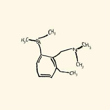 Cc1ccc[c]([Bi]([CH3])[CH3])c1CN(C)C